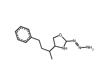 CC(CCc1ccccc1)C1COC(N=NN)N1